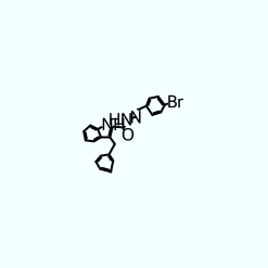 O=C(NN=Cc1ccc(Br)cc1)c1[nH]c2ccccc2c1Cc1ccccc1